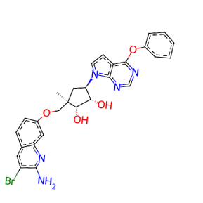 C[C@]1(COc2ccc3cc(Br)c(N)nc3c2)C[C@@H](n2ccc3c(Oc4ccccc4)ncnc32)[C@H](O)[C@@H]1O